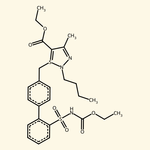 CCCCN1N=C(C)C(C(=O)OCC)=S1Cc1ccc(-c2ccccc2S(=O)(=O)NC(=O)OCC)cc1